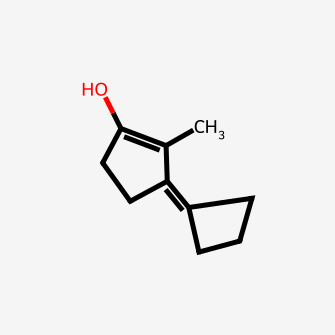 CC1=C(O)CCC1=C1CCC1